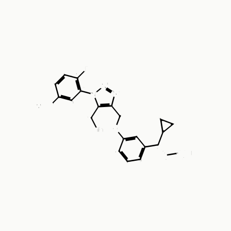 COc1ccc(F)c(-n2nnc(COc3cccc([C@@H](CC(=O)O)C4CC4)c3)c2CC(C)C)c1